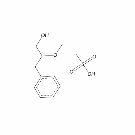 COC(CO)Cc1ccccc1.CS(=O)(=O)O